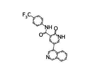 O=C(Nc1ccc(C(F)(F)F)cc1)c1cc(-c2cncc3ccccc23)c[nH]c1=O